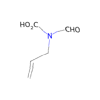 C=CCN(C=O)C(=O)O